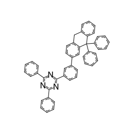 c1ccc(-c2nc(-c3ccccc3)nc(-c3cccc(-c4ccc5c(c4)C(c4ccccc4)(c4ccccc4)c4ccccc4C5)c3)n2)cc1